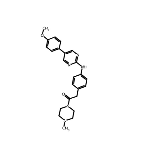 COc1ccc(-c2cnc(Nc3ccc(CC(=O)N4CCN(C)CC4)cc3)nc2)cc1